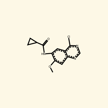 COc1cc2ncnc(Cl)c2cc1NC(=O)C1CC1